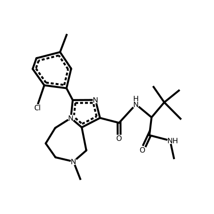 CNC(=O)C(NC(=O)c1nc(-c2cc(C)ccc2Cl)n2c1CN(C)CCC2)C(C)(C)C